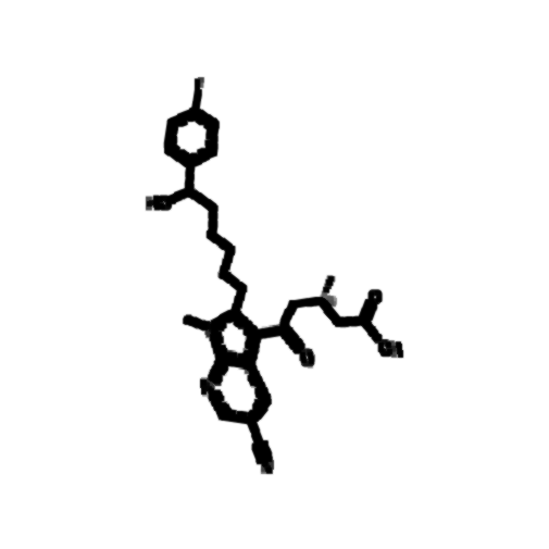 C[C@H](CC(=O)O)CC(=O)c1c(CCCCCC(O)c2ccc(F)cc2)n(C)c2ncc(C#N)cc12